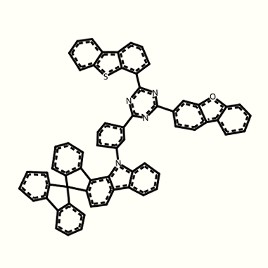 c1cc(-c2nc(-c3ccc4c(c3)oc3ccccc34)nc(-c3cccc4c3sc3ccccc34)n2)cc(-n2c3ccccc3c3ccc4c(c32)-c2ccccc2C42c3ccccc3-c3ccccc32)c1